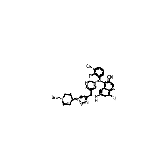 CC(C)(C)N1CCC(n2cc([C@@H](Nc3cc(Cl)c4ncc(C#N)c(Nc5cccc(Cl)c5F)c4c3)c3cccnc3)nn2)CC1